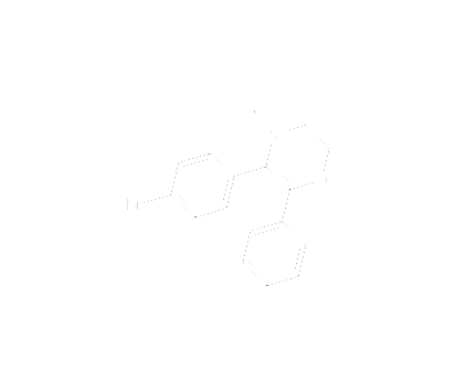 [O-][S+]1CCOC(c2ccccc2)=C1c1ccc(Br)cc1